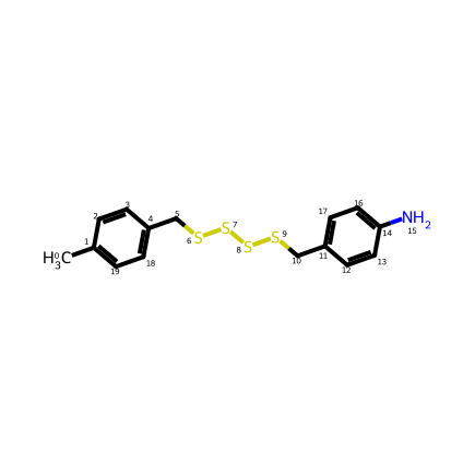 Cc1ccc(CSSSSCc2ccc(N)cc2)cc1